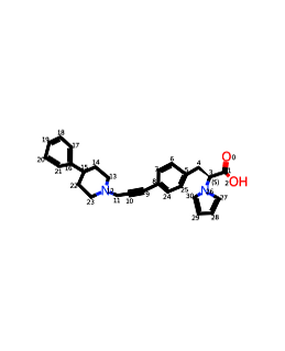 O=C(O)[C@H](Cc1ccc(C#CCN2CCC(c3ccccc3)CC2)cc1)n1cccc1